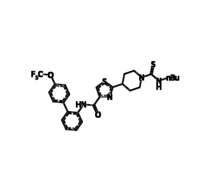 CCCCNC(=S)N1CCC(c2nc(C(=O)Nc3ccccc3-c3ccc(OC(F)(F)F)cc3)cs2)CC1